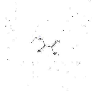 C/C=C\C(=N)C(=N)N